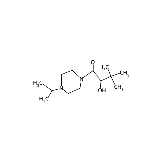 CC(C)N1CCN(C(=O)C(O)C(C)(C)C)CC1